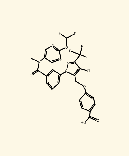 CN(C(=O)c1cccc(-n2nc(C(F)(F)F)c(Cl)c2COc2ccc(C(=O)O)cc2)c1)c1cnc(OC(F)F)nc1